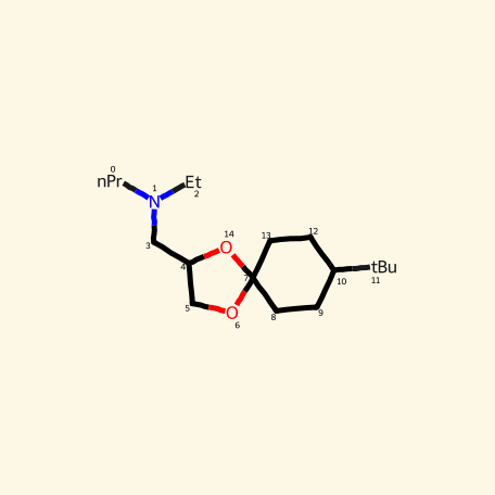 CCCN(CC)CC1COC2(CCC(C(C)(C)C)CC2)O1